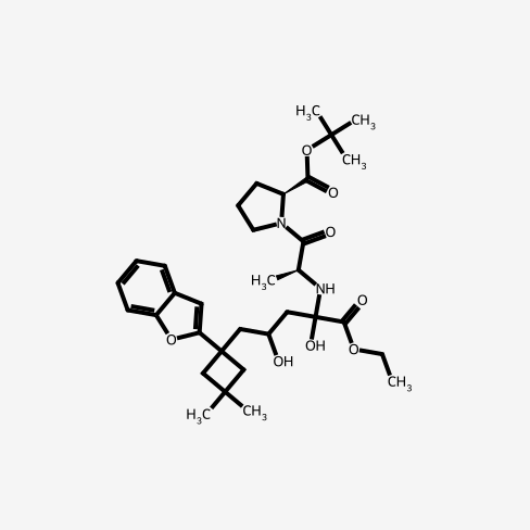 CCOC(=O)C(O)(CC(O)CC1(c2cc3ccccc3o2)CC(C)(C)C1)N[C@@H](C)C(=O)N1CCC[C@H]1C(=O)OC(C)(C)C